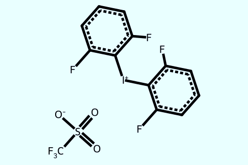 Fc1cccc(F)c1[I+]c1c(F)cccc1F.O=S(=O)([O-])C(F)(F)F